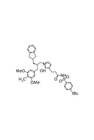 COc1cc([C@@H](O)[C@@H](CC2Cc3ccccc3C2)Cn2ccc(CCC(=O)NS(=O)(=O)c3ccc(C(C)(C)C)cc3)c2)cc(OC)c1C